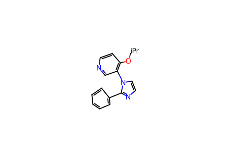 CC(C)Oc1ccncc1-n1ccnc1-c1ccccc1